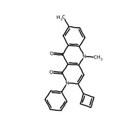 Cc1ccc2c(c1)c(=O)c1c(=O)n(-c3ccccc3)c(C3=CC=C3)cc1n2C